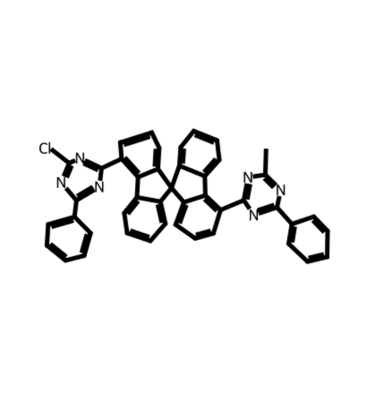 Cc1nc(-c2ccccc2)nc(-c2cccc3c2-c2ccccc2C32c3ccccc3-c3c(-c4nc(Cl)nc(-c5ccccc5)n4)cccc32)n1